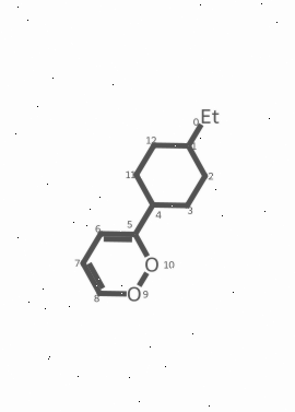 CCC1CCC(C2=CC=COO2)CC1